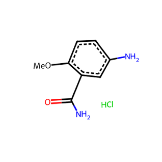 COc1ccc(N)cc1C(N)=O.Cl